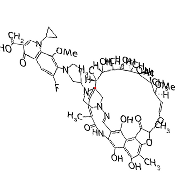 C=C(O)c1cn(C2CC2)c2c(OC)c(N3CCC(N4CCN(/N=C/c5c6c(O)c7c(O)c(C)c8c(c7c5O)C(=O)[C@@](C)(O/C=C/[C@H](OC)[C@@H](C)[C@@H](OC(C)=O)[C@H](C)[C@H](O)[C@H](C)[C@@H](O)[C@@H](C)/C=C/C=C(/C)C(=O)N6)O8)CC4)C3)c(F)cc2c1=O